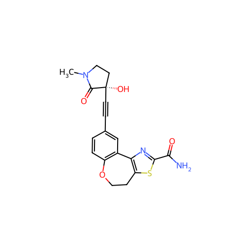 CN1CC[C@@](O)(C#Cc2ccc3c(c2)-c2nc(C(N)=O)sc2CCO3)C1=O